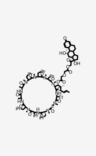 C/C=C/C[C@@H](C)[C@@H](OC(=O)COCC(=O)OCC(=O)[C@@]1(O)CCC2C3CCC4=CC(=O)C=C[C@]4(C)C3[C@@H](O)C[C@@]21C)C1C(=O)NC(CC)C(=O)N(C)CC(=O)N(C)[C@@H](CC(C)C)C(=O)NC(C(C)C)C(=O)N(C)C(CC(C)C)C(=O)NC(C)C(=O)NC(C)C(=O)N(C)C(CC(C)C)C(=O)N(C)C(CC(C)C)C(=O)N(C)C(C(C)C)C(=O)N1C